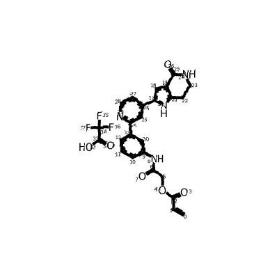 C=CC(=O)OCC(=O)Nc1cccc(-c2cc(-c3cc4c([nH]3)CCNC4=O)ccn2)c1.O=C(O)C(F)(F)F